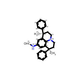 C[C@@]1(c2ccccc2)CCN2CC[C@](C)(c3ccccc3)c3cc(NC=O)cc1c32